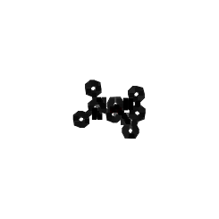 c1ccc(-c2cc(-c3ccccc3)nc(-c3ccc(-n4c5ccccc5c5ccc6c7ccccc7n(-c7ccccc7)c6c54)nc3)n2)cc1